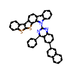 c1ccc(-c2nc(-n3c4ccccc4c4ccc5c(sc6sc7ccccc7c65)c43)nc3ccc(-c4ccc5ccccc5c4)cc23)cc1